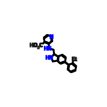 CCc1ccccc1-c1ccc2c(c1)CNC2CNc1cnccc1C(=O)O